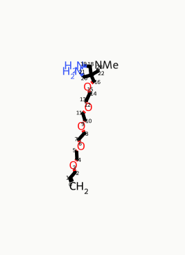 C=CCOCCOCCOCCOCCOCC(CN)(CN)CNC